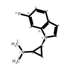 CN(C)C1C[C@@H]1n1ccc2ccc(F)cc21